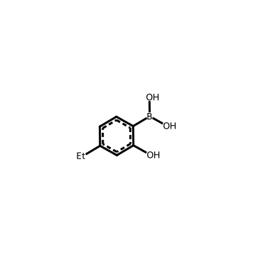 CCc1ccc(B(O)O)c(O)c1